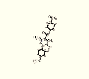 COc1ccc(N(C=O)/N=C(/C)C(C)C(=O)Oc2ccc([N+](=O)[O-])cc2)c(F)c1